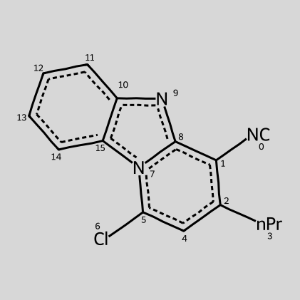 [C-]#[N+]c1c(CCC)cc(Cl)n2c1nc1ccccc12